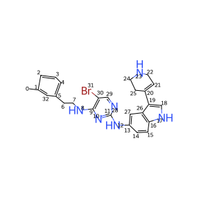 Cc1cccc(CCNc2nc(Nc3ccc4[nH]cc(C5=CCNCC5)c4c3)ncc2Br)c1